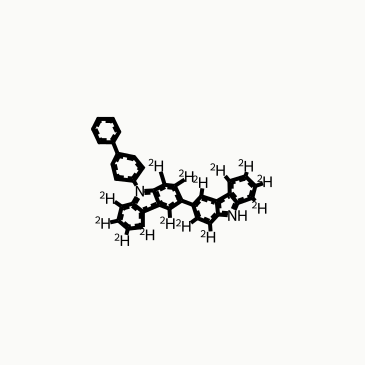 [2H]c1c([2H])c([2H])c2c([nH]c3c([2H])c([2H])c(-c4c([2H])c([2H])c5c(c4[2H])c4c([2H])c([2H])c([2H])c([2H])c4n5-c4ccc(-c5ccccc5)cc4)c([2H])c32)c1[2H]